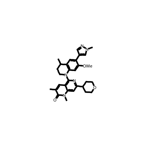 COc1cc2c(cc1-c1cnn(C)c1)C(C)CCN2c1nc(C2CCOCC2)cc2c1cc(C)c(=O)n2C